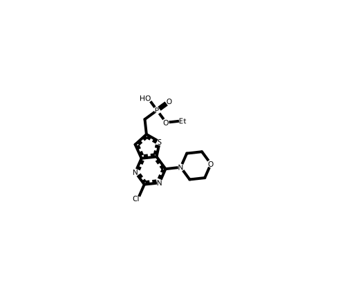 CCOP(=O)(O)Cc1cc2nc(Cl)nc(N3CCOCC3)c2s1